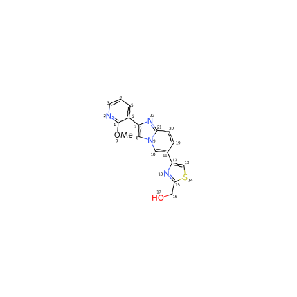 COc1ncccc1-c1cn2cc(-c3csc(CO)n3)ccc2n1